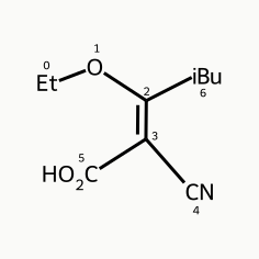 CCOC(=C(C#N)C(=O)O)C(C)CC